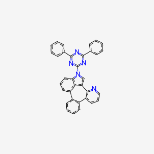 c1ccc(-c2nc(-c3ccccc3)nc(-n3cc4c5c(cccc53)-c3ccccc3-c3cccnc3-4)n2)cc1